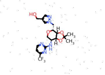 CC1(C)O[C@@H]2[C@H](O1)[C@@H](Nc1nccc(C(F)(F)F)n1)CO[C@@H]2Cn1cc(CO)cn1